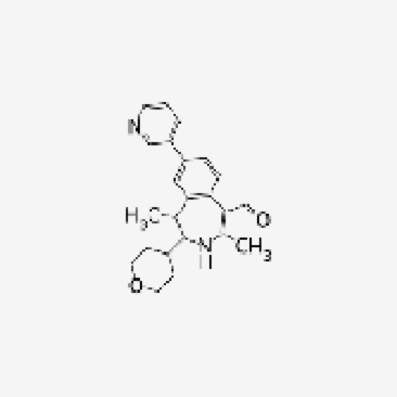 CC1=C(C=O)c2ccc(-c3cccnc3)cc2C(C)C(C2CCOCC2)N1